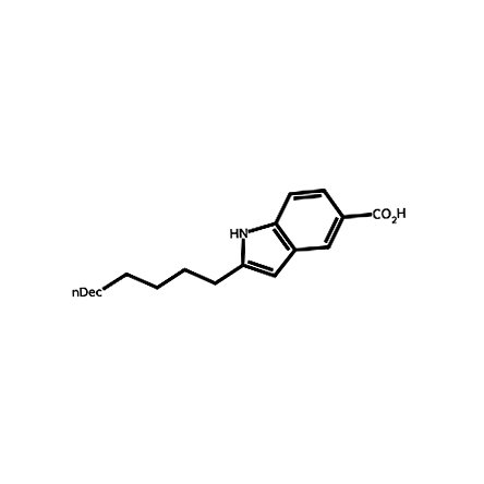 CCCCCCCCCCCCCCc1cc2cc(C(=O)O)ccc2[nH]1